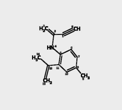 C#CC(=C)Nc1ccc(C)cc1C(=C)C